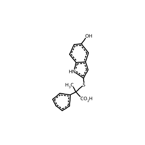 CC(Sc1cc2cc(O)ccc2[nH]1)(C(=O)O)c1ccccc1